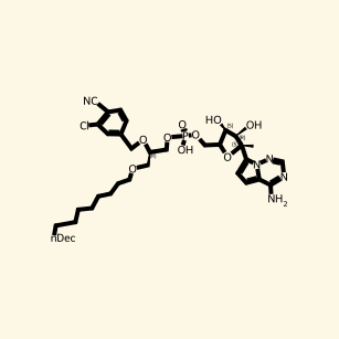 CCCCCCCCCCCCCCCCCCOC[C@H](COP(=O)(O)OCC1O[C@@](C)(c2ccc3c(N)ncnn23)[C@H](O)[C@@H]1O)OCc1ccc(C#N)c(Cl)c1